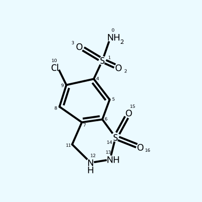 NS(=O)(=O)c1cc2c(cc1Cl)CNNS2(=O)=O